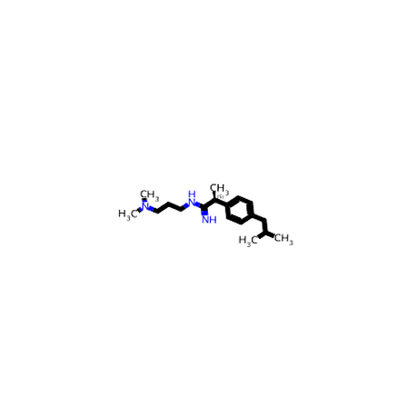 CC(C)Cc1ccc([C@H](C)C(=N)NCCCN(C)C)cc1